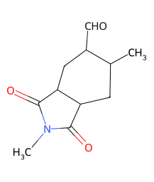 CC1CC2C(=O)N(C)C(=O)C2CC1C=O